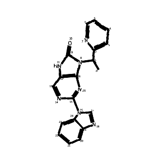 CC(c1ccccn1)n1c(=O)[nH]c2cnc(-n3cnc4ccccc43)nc21